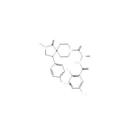 COc1ccc(C2CN(C)C(=O)C23CCN(C(=O)[C@H](NC(=O)c2cc(C(F)(F)F)ccc2F)C(C)C)CC3)cc1